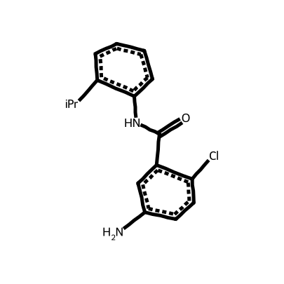 CC(C)c1ccccc1NC(=O)c1cc(N)ccc1Cl